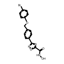 O=C(NO)c1nc(-c2ccc(COc3ccc(Br)cc3)cc2)no1